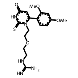 COc1ccc(-c2cc(=O)[nH]c(=S)n2CCOCCNC(=N)N)c(OC)c1